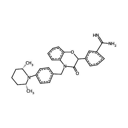 C[C@@H]1CCC[C@H](C)N1c1ccc(CN2C(=O)C(c3cccc(C(=N)N)c3)Oc3ccccc32)cc1